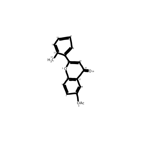 CC(=O)Oc1ccc2oc(-c3ccccc3C)cc(=O)c2c1